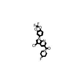 O=C(c1cnc2c(c1)c(Cl)cn2-c1ccc2c(c1)OC(F)(F)O2)N1CCC(F)CC1